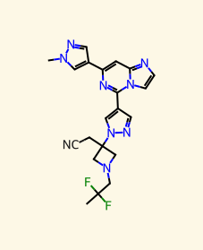 Cn1cc(-c2cc3nccn3c(-c3cnn(C4(CC#N)CN(CC(C)(F)F)C4)c3)n2)cn1